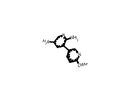 Bc1cnc(N)c(-c2ccc(OC)nc2)c1